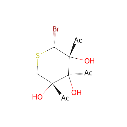 CC(=O)[C@]1(O)[C@@](O)(C(C)=O)CS[C@H](Br)[C@@]1(O)C(C)=O